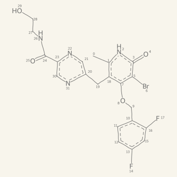 Cc1[nH]c(=O)c(Br)c(OCc2ccc(F)cc2F)c1Cc1cnc(C(=O)NCCO)cn1